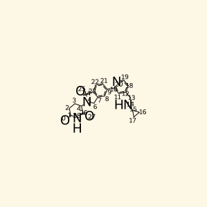 O=C1CCC(N2Cc3cc(-c4cc(CNC5CC5)ccn4)ccc3C2=O)C(=O)N1